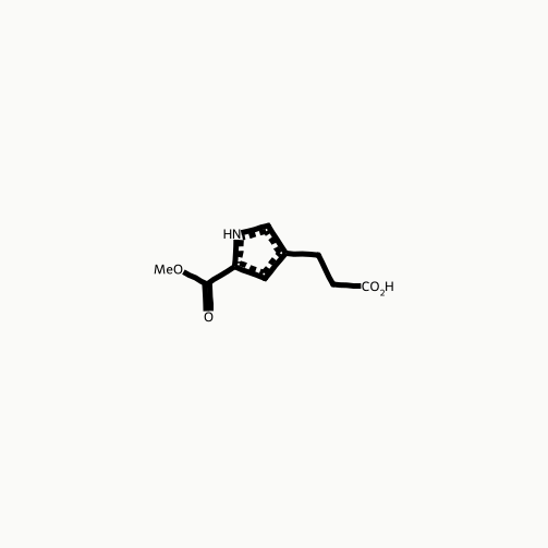 COC(=O)c1cc(CCC(=O)O)c[nH]1